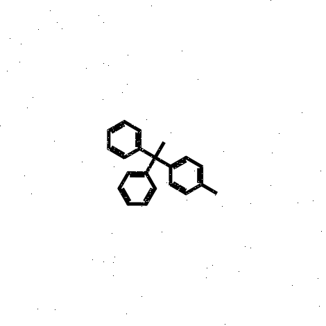 Cc1ccc(C(C)(c2ccccc2)c2ccccc2)cc1